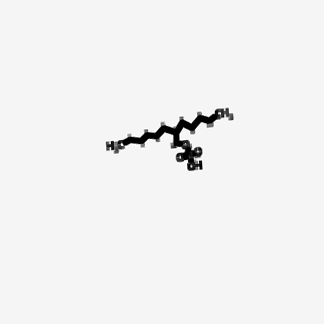 CCCCCCC(CCCCC)COS(=O)(=O)O